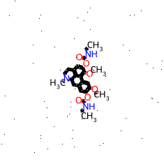 CCNC(=O)Oc1cc2c(cc1OC)-c1c(OC)c(OC(=O)NCC)cc3c1C(C2)N(C)CC3